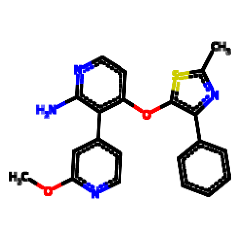 COc1cc(-c2c(Oc3sc(C)nc3-c3ccccc3)ccnc2N)ccn1